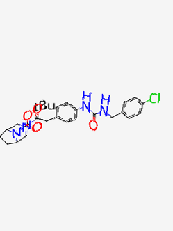 CC(C)(C)OC(=O)N1C2CCC1CN(C(=O)Cc1ccc(NC(=O)NCc3ccc(Cl)cc3)cc1)C2